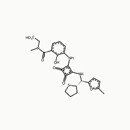 Cc1ccc(C(Nc2c(Nc3cccc(C(=O)N(C)CC(=O)O)c3O)c(=O)c2=O)[C@@H]2CCCS2)o1